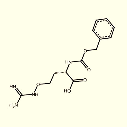 N=C(N)NOCC[C@H](NC(=O)OCc1ccccc1)C(=O)O